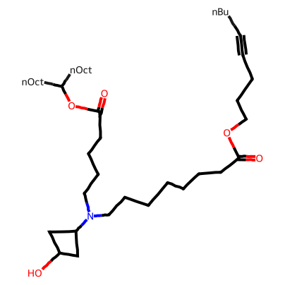 CCCCC#CCCCOC(=O)CCCCCCCN(CCCCC(=O)OC(CCCCCCCC)CCCCCCCC)C1CC(O)C1